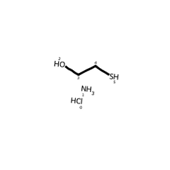 Cl.N.OCCS